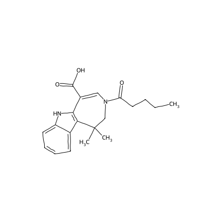 CCCCC(=O)N1C=C(C(=O)O)c2[nH]c3ccccc3c2C(C)(C)C1